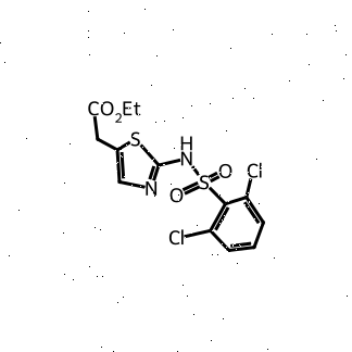 CCOC(=O)Cc1cnc(NS(=O)(=O)c2c(Cl)cccc2Cl)s1